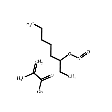 C=C(C)C(=O)O.CCCCCC(CC)ON=O